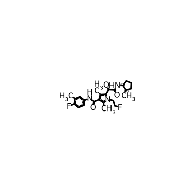 Cc1cc(NC(=O)c2c(C)c(C(=O)C(=O)N[C@@H]3CCC[C@H]3C)n(CCF)c2C)ccc1F